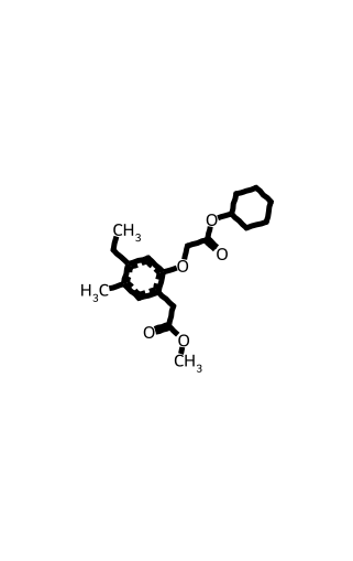 CCc1cc(OCC(=O)OC2CCCCC2)c(CC(=O)OC)cc1C